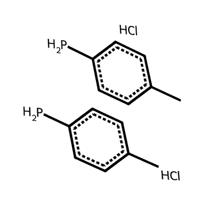 Cc1ccc(P)cc1.Cc1ccc(P)cc1.Cl.Cl